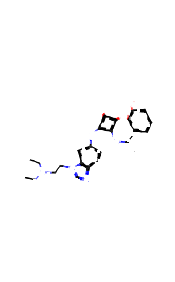 CCN(CC)CCn1cnc2ccc(Nc3c(N[C@H](C)c4cccc(O)c4)c(=O)c3=O)cc21